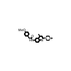 COc1ccc(CC(=O)Nc2ccc3nc(N4CCN(C)CC4)cc(C)c3c2)cc1